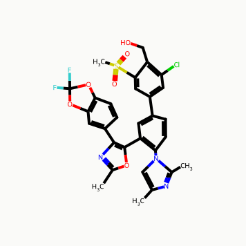 Cc1cn(-c2ccc(-c3cc(Cl)c(CO)c(S(C)(=O)=O)c3)cc2-c2oc(C)nc2-c2ccc3c(c2)OC(F)(F)O3)c(C)n1